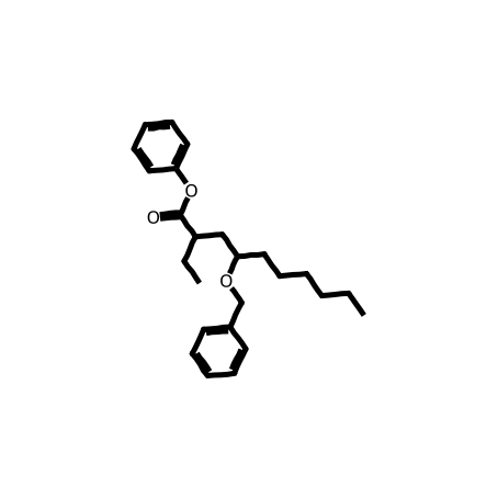 CCCCCCC(CC(CC)C(=O)Oc1ccccc1)OCc1ccccc1